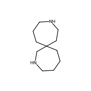 C1CCC2(CCCNCC2)CNC1